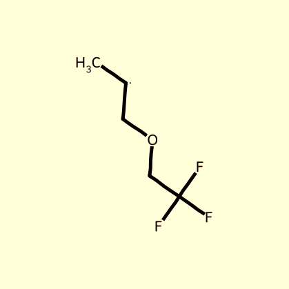 C[CH]COCC(F)(F)F